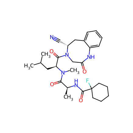 CC(C)C[C@@H](C(=O)N1CC(=O)Nc2ccccc2C[C@H]1C#N)N(C)C(=O)[C@H](C)NC(=O)C1(F)CCCCC1